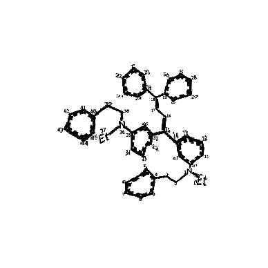 CCN(CCc1ccccc1)c1cccc(C(=CC=C(c2ccccc2)c2ccccc2)c2cccc(N(CC)CCc3ccccc3)c2)c1